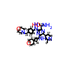 Cc1cc(-c2nc(C(N)O)c(Nc3ccc(CN4CCOCC4)cc3)nc2NC2CC3(CCOCC3)C2)ccn1